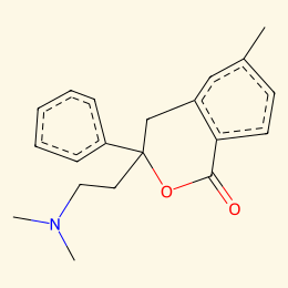 Cc1ccc2c(c1)CC(CCN(C)C)(c1ccccc1)OC2=O